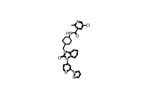 Cc1ncc(Cl)cc1C(=O)NC1CCC(Cn2c(=O)n(-c3ccnc(-n4cccn4)c3)c3ccccc32)CC1